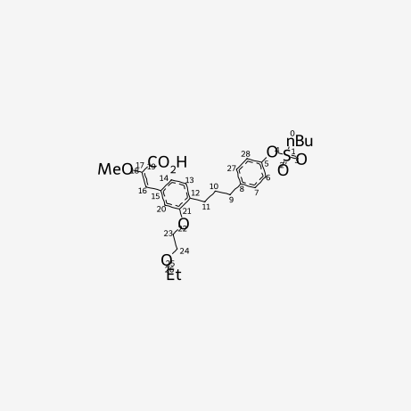 CCCCS(=O)(=O)Oc1ccc(CCCc2ccc(C=C(OC)C(=O)O)cc2OCCOCC)cc1